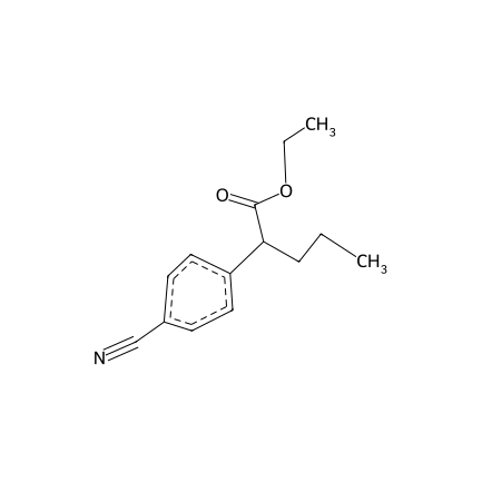 CCCC(C(=O)OCC)c1ccc(C#N)cc1